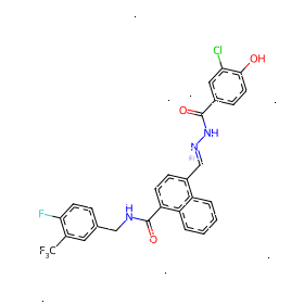 O=C(N/N=C/c1ccc(C(=O)NCc2ccc(F)c(C(F)(F)F)c2)c2ccccc12)c1ccc(O)c(Cl)c1